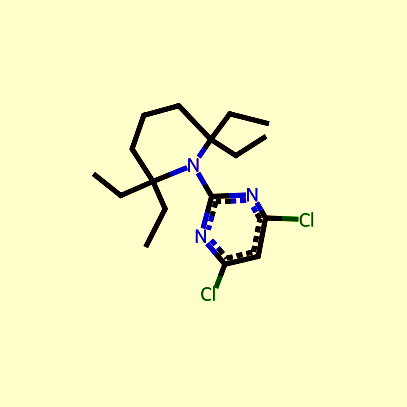 CCC1(CC)CCCC(CC)(CC)N1c1nc(Cl)cc(Cl)n1